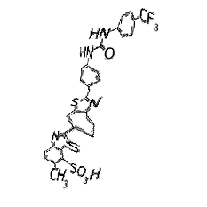 Cc1ccc2nc(-c3ccc4nc(-c5ccc(NC(=O)Nc6ccc(C(F)(F)F)cc6)cc5)sc4c3)sc2c1S(=O)(=O)O